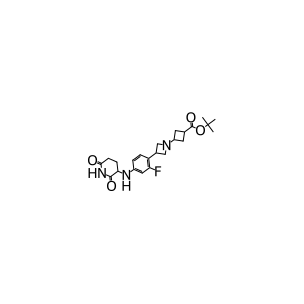 CC(C)(C)OC(=O)C1CC(N2CC(c3ccc(NC4CCC(=O)NC4=O)cc3F)C2)C1